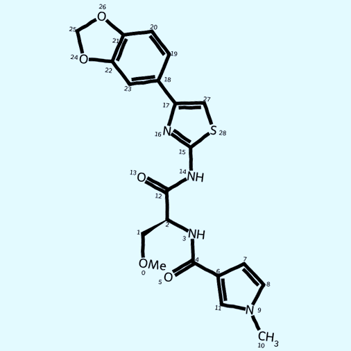 COC[C@H](NC(=O)c1ccn(C)c1)C(=O)Nc1nc(-c2ccc3c(c2)OCO3)cs1